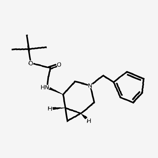 CC(C)(C)OC(=O)N[C@H]1CN(Cc2ccccc2)C[C@@H]2C[C@@H]21